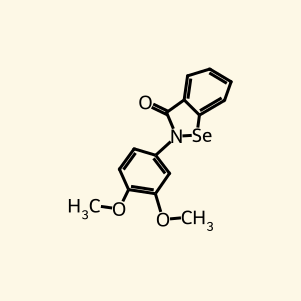 COc1ccc(-n2[se]c3ccccc3c2=O)cc1OC